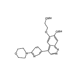 COCCOc1cc2c(-c3ccc(N4CCOCC4)nc3)cnnc2cc1OC